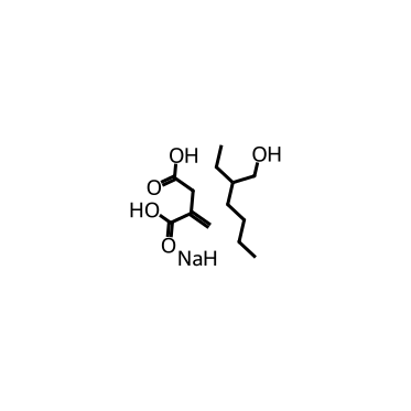 C=C(CC(=O)O)C(=O)O.CCCCC(CC)CO.[NaH]